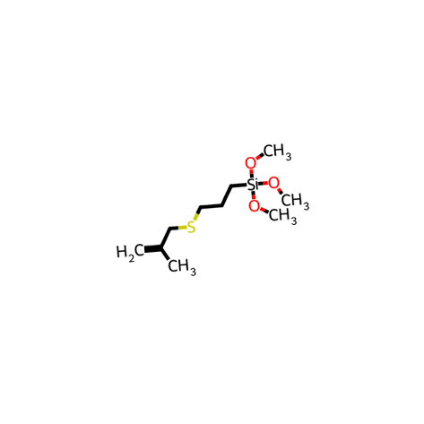 C=C(C)CSCCC[Si](OC)(OC)OC